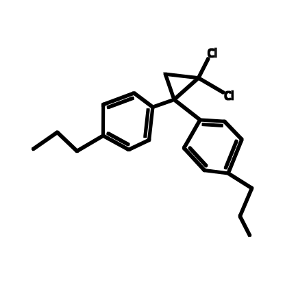 CCCc1ccc(C2(c3ccc(CCC)cc3)CC2(Cl)Cl)cc1